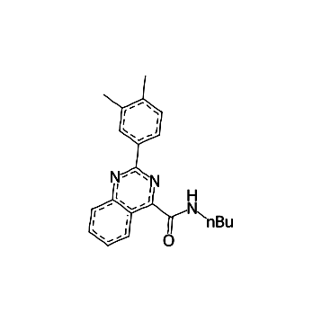 CCCCNC(=O)c1nc(-c2ccc(C)c(C)c2)nc2ccccc12